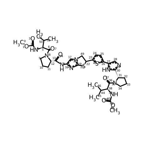 COC(=O)N[C@H](C(=O)N1CCC[C@H]1C(=O)Nc1cn2c(n1)SC(c1ccc(-c3cnc([C@@H]4CCCN4C(=O)[C@@H](NC(=O)OC)C(C)C)[nH]3)s1)C2)C(C)C